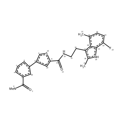 CNC(=O)c1cccc(-c2csc(C(=O)NCCc3c(C)[nH]c4c(F)ccc(C)c34)c2)c1